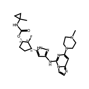 CN1CCN(c2cc3nccn3c(Nc3cc([C@@H]4CC[C@H](OC(=O)NC5(C)CC5)[C@H]4F)[nH]n3)n2)CC1